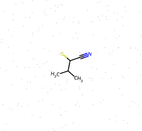 CC(C)C([S])C#N